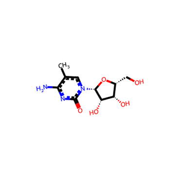 Cc1cn([C@@H]2O[C@H](CO)[C@H](O)[C@@H]2O)c(=O)nc1N